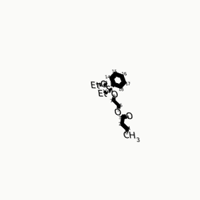 CC=CC(=O)OCCO[Si](CC)(OCC)c1ccccc1